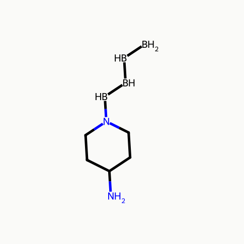 BBBBN1CCC(N)CC1